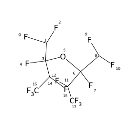 FC(F)C(F)(OC(F)(C(F)F)C(F)C(F)(F)F)C(F)C(F)(F)F